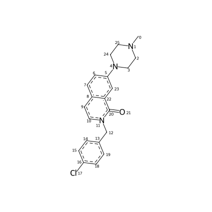 CN1CCN(c2ccc3ccn(Cc4ccc(Cl)cc4)c(=O)c3c2)CC1